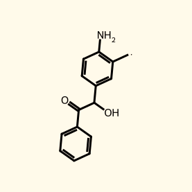 [CH2]c1cc(C(O)C(=O)c2ccccc2)ccc1N